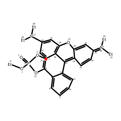 CCOP1(=O)ON=C(c2ccccc2-c2c3ccc(=[N+](CC)CC)cc-3oc3cc(N(CC)CC)ccc23)O1